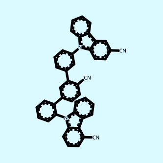 N#Cc1ccc2c(c1)c1ccccc1n2-c1cccc(-c2cc(-c3ccccc3-n3c4ccccc4c4c(C#N)cccc43)ccc2C#N)c1